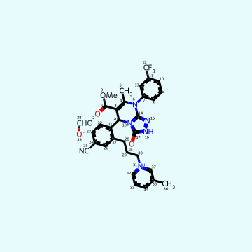 COC(=O)C1=C(C)N(c2cccc(C(F)(F)F)c2)c2n[nH]c(=O)n2C1c1ccc(C#N)cc1CCC[n+]1cccc(C)c1.O=C[O-]